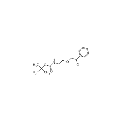 CC(C)(C)OC(=O)NCCOCC(Cl)c1ccccc1